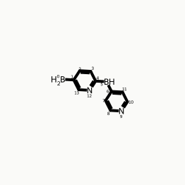 Bc1ccc(Bc2ccncc2)nc1